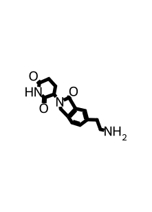 NCCc1ccc2c(c1)C(=O)N(C1CCC(=O)NC1=O)C2